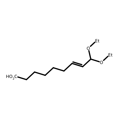 CCOC(/C=C/CCCCCC(=O)O)OCC